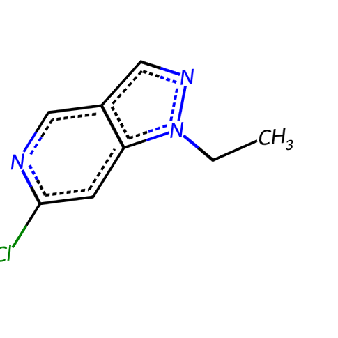 CCn1ncc2cnc(Cl)cc21